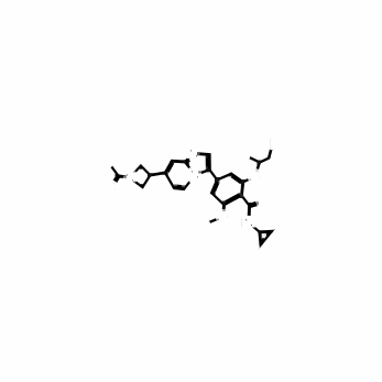 COc1cc(-c2cnc3cc(C4CN(C(C)=O)C4)ccn23)cc(OC(F)CF)c1C(=O)NC1CC1